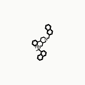 C[C@@H](NCC1CN(Cc2ccc3ccccc3c2)CCC1c1ccccc1)c1cccc2ccccc12